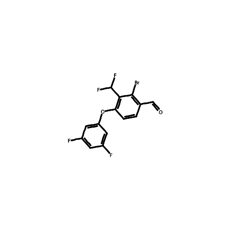 O=Cc1ccc(Oc2cc(F)cc(F)c2)c(C(F)F)c1Br